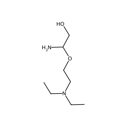 CCN(CC)CCOC(N)CO